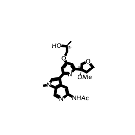 CO[C@@]1(c2cc(OC[C@H](C)O)cc(-c3cn(C)c4cnc(NC(C)=O)cc34)n2)CCOC1